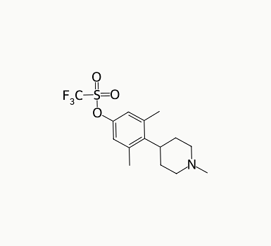 Cc1cc(OS(=O)(=O)C(F)(F)F)cc(C)c1C1CCN(C)CC1